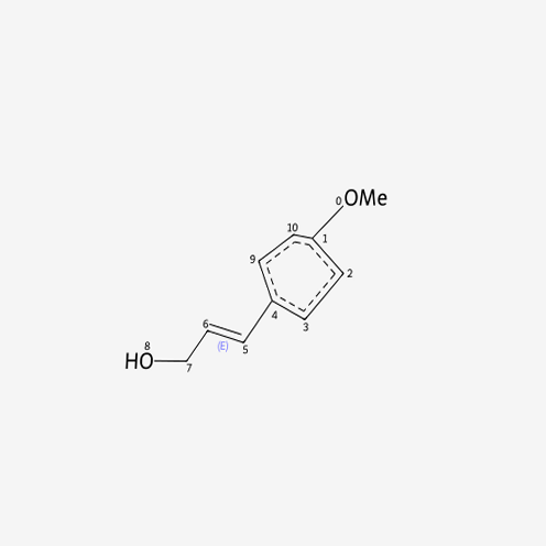 COc1ccc(/C=C/CO)cc1